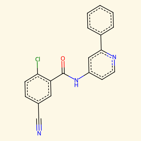 N#Cc1ccc(Cl)c(C(=O)Nc2ccnc(-c3ccccc3)c2)c1